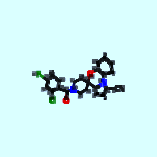 N#Cc1ccc2n1-c1ccccc1OC21CCN(C(=O)c2ccc(F)cc2Cl)CC1